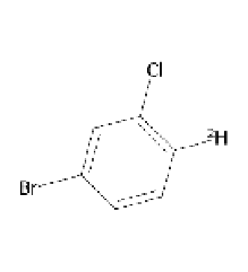 [2H]c1ccc(Br)cc1Cl